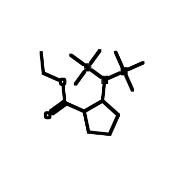 CCOC(=O)C1CCCC1N([Si](C)(C)C)[Si](C)(C)C